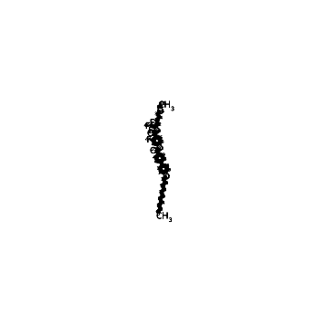 CCCCCCCCCCCCOc1ccc(-c2ccc(C(=O)Oc3ccc(C(=O)OC(CCCCOCC)C(F)(F)F)c(F)c3)cc2)cc1